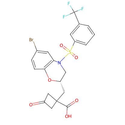 O=C1CC(C[C@H]2CN(S(=O)(=O)c3cccc(C(F)(F)F)c3)c3cc(Br)ccc3O2)(C(=O)O)C1